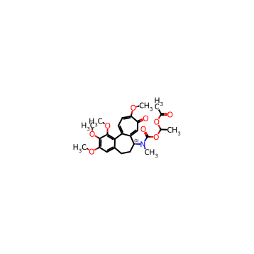 COc1cc2c(c(OC)c1OC)-c1ccc(OC)c(=O)cc1[C@@H](N(C)C(=O)OC(C)OC(C)=O)CC2